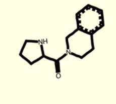 O=C(C1CCCN1)N1CCc2ccccc2C1